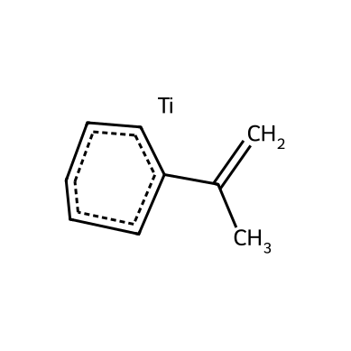 C=C(C)c1ccccc1.[Ti]